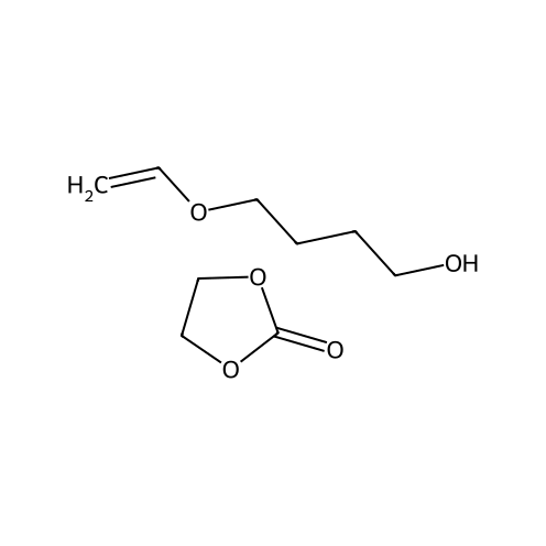 C=COCCCCO.O=C1OCCO1